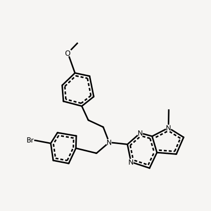 COc1ccc(CCN(Cc2ccc(Br)cc2)c2ncc3ccn(C)c3n2)cc1